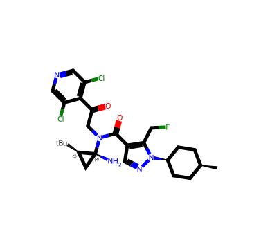 CC(C)(C)[C@@H]1C[C@@]1(N)N(CC(=O)c1c(Cl)cncc1Cl)C(=O)c1cnn([C@H]2CC[C@@H](C)CC2)c1CF